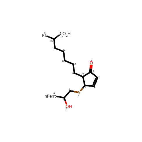 CCCCCC(O)CSC1C=CC(=O)C1CCCCCC(CC)C(=O)O